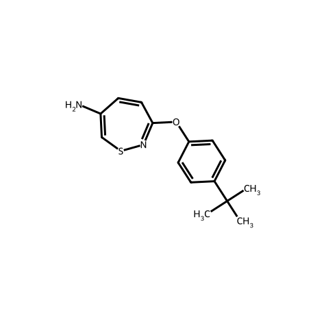 CC(C)(C)c1ccc(OC2=NSC=C(N)C=C2)cc1